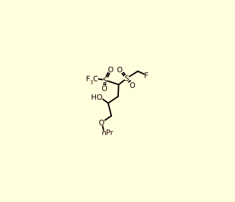 CCCOCC(O)CC(S(=O)(=O)CF)S(=O)(=O)C(F)(F)F